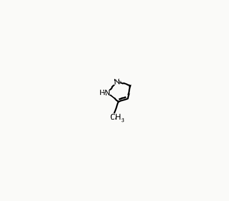 CC1=CC[N]N1